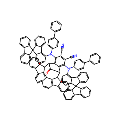 N#Cc1c(C#N)c(N(c2ccc(-c3ccccc3)cc2)c2cccc3c2-c2ccccc2C32c3ccccc3-c3ccccc32)c2c(c1N(c1ccc(-c3ccccc3)cc1)c1cccc3c1-c1ccccc1C31c3ccccc3-c3ccccc31)C1C(=O)C2C2c3ccccc3-c3ccc4ccc5c(c4c32)C1c1ccccc1-5